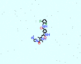 Cc1[nH]c(C=C2C(=O)Nc3ccc(C(=O)NCc4c(F)cccc4F)cc32)c(C)c1C(=O)N1CC[C@H](N(C)C)C1